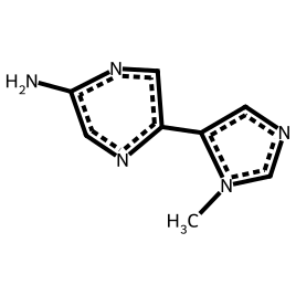 Cn1cncc1-c1cnc(N)cn1